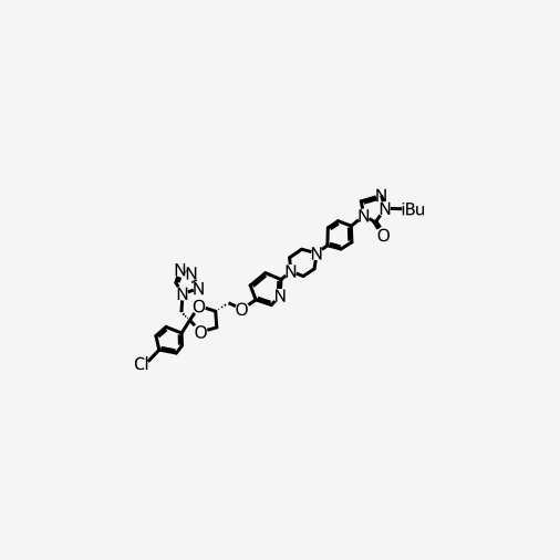 CCC(C)n1ncn(-c2ccc(N3CCN(c4ccc(OC[C@@H]5CO[C@@](Cn6cnnn6)(c6ccc(Cl)cc6)O5)cn4)CC3)cc2)c1=O